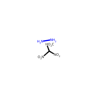 NN.O=C(O)C([N+](=O)[O-])[N+](=O)[O-]